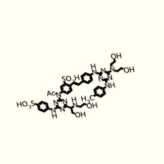 CC(=O)N(c1ccc(C=Cc2ccc(Nc3nc(Nc4ccc(C)cc4)nc(N(CCO)CCO)n3)cc2)c(S(=O)(=O)O)c1)c1nc(Nc2ccc(S(=O)(=O)O)cc2)nc(C(CO)NCCO)n1